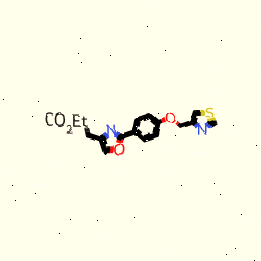 CCOC(=O)Cc1coc(-c2ccc(OCc3cscn3)cc2)n1